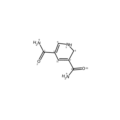 NC(=O)C1=CNCC(C(N)=O)=C1